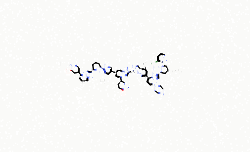 CCC[C@H](N[C@H](C)c1cn2c(C3CCC(=O)N(C)C3)cc(-c3cnc([C@@H]4CCC[C@H](c5cn6c(C7CCN(C)C(=O)C7)cccc6n5)N4)c(C)c3)cc2n1)c1ncc(-c2ccc(N3CCN(C)CC3)n3cc([C@H]4C[C@@H](OC)C[C@@H](c5ncccc5Cl)N4)nc23)cc1C